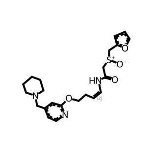 O=C(C[S+]([O-])Cc1ccco1)N/C=C\CCOc1cc(CN2CCCCC2)ccn1